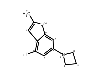 Cc1cc2c(F)cc(N3CCC3)cc2o1